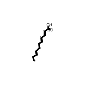 CCC=CCCC=CC=CC(=O)O